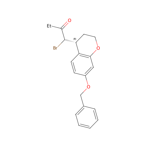 CCC(=O)C(Br)[C@@H]1CCOc2cc(OCc3ccccc3)ccc21